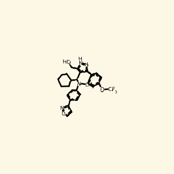 CN(c1ccc(-c2ccon2)cc1)C(c1c(-c2ccc(OC(F)(F)F)cc2)n[nH]c1CO)C1CCCCC1